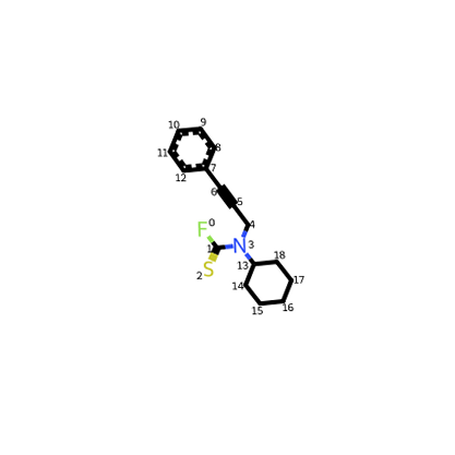 FC(=S)N(CC#Cc1ccccc1)C1CCCCC1